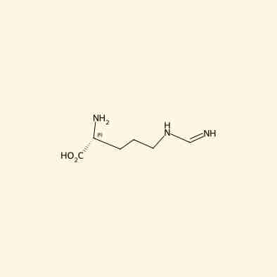 N=CNCCC[C@@H](N)C(=O)O